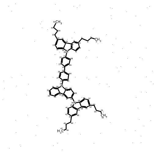 CCCCc1ccc2c(c1)c1cc(CCCC)ccc1n2-c1ccc(-c2ccc(-n3c4ccccc4c4cc(-n5c6ccc(CCCC)cc6c6cc(CCCC)ccc65)ccc43)cc2)cc1